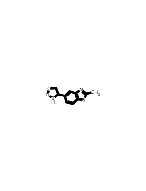 Cc1nc2cc(C3BOOC3)ccc2s1